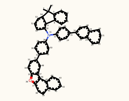 CC1(C)c2ccccc2-c2c(N(c3ccc(-c4ccc5ccccc5c4)cc3)c3ccc(-c4ccc5oc6ccc7ccccc7c6c5c4)cc3)cccc21